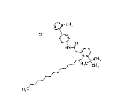 CCCCCCCCCCCCCCOc1c(CC(=O)Nc2ccc(-c3scc[n+]3C)cc2)cccc1C(C)(C)C.[Cl-]